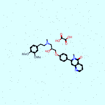 COc1ccc(CCN(C)CC(O)COc2ccc(-c3cc4ncccc4c(=O)n3C)cc2)cc1OC.O=C(O)C(=O)O